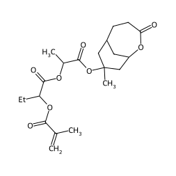 C=C(C)C(=O)OC(CC)C(=O)OC(C)C(=O)OC1(C)CC2CCC(=O)OC(C2)C1